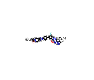 C=N/C(=C1/CCCN1C)C(C(=O)O)N1Cc2c(F)cc(-c3ccc(N4CC5(CCN(C(=O)OCC(C)C)CC5)C4)cc3)cc2C1=O